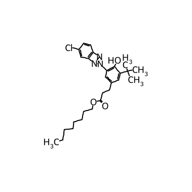 CCCCCCCCOC(=O)CCc1cc(-n2n3c4ccc(Cl)cc4n23)c(O)c(C(C)(C)C)c1